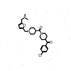 CN(C)Cc1ccc(CN2CCC(C(=O)N3CCC(C(=O)c4ccc(Cl)cc4)CC3)CC2)o1